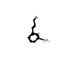 O=[N+]([O-])c1cccc(C=CCBr)c1